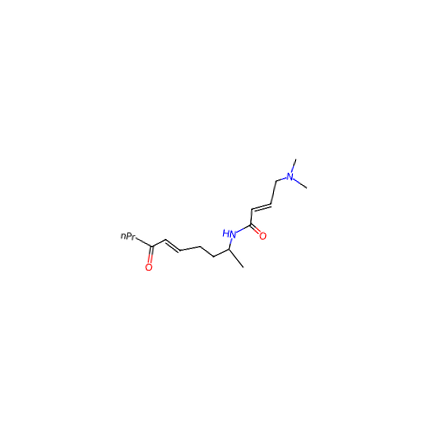 CCCC(=O)/C=C/CCC(C)NC(=O)/C=C/CN(C)C